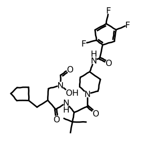 CC(C)(C)C(NC(=O)C(CC1CCCC1)CN(O)C=O)C(=O)N1CCC(NC(=O)c2cc(F)c(F)cc2F)CC1